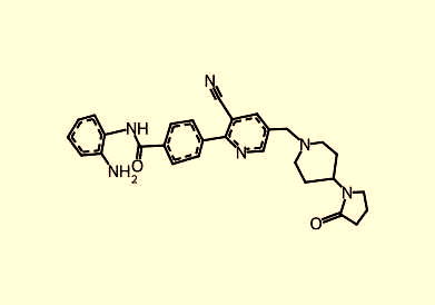 N#Cc1cc(CN2CCC(N3CCCC3=O)CC2)cnc1-c1ccc(C(=O)Nc2ccccc2N)cc1